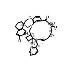 C[C@H](c1ccncn1)[C@@]1(O)/C=C/C[C@H](C)[C@@H](C)S(=O)(=O)NC(=O)c2ccc3c(c2)N(C[C@@H]2CC[C@H]21)C[C@@]1(CCCc2cc(Cl)ccc21)CO3